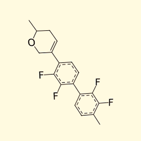 Cc1ccc(-c2ccc(C3=CCC(C)OC3)c(F)c2F)c(F)c1F